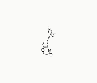 COC1(C#Cc2ccc3c(c2)N(C)C(=O)CCO3)CN(C)C1